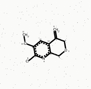 C=C1COCc2nc(Cl)c(OC)cc21